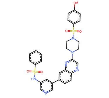 O=S(=O)(Nc1cncc(-c2ccc3ncc(N4CCN(S(=O)(=O)c5ccc(O)cc5)CC4)nc3c2)c1)c1ccccc1